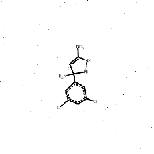 NC1=CC(N)(c2cc(Cl)cc(Cl)c2)NN1